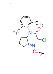 CO/N=C1\CCCC1N(C(=O)CCl)c1c(C)cccc1C